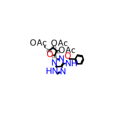 CC(=O)OC[C@H]1O[C@@H](c2nc(NC(=O)c3ccccc3)c3nc[nH]c3n2)[C@H](OC(C)=O)[C@H]1OC(C)=O